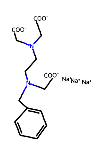 O=C([O-])CN(CCN(CC(=O)[O-])Cc1ccccc1)CC(=O)[O-].[Na+].[Na+].[Na+]